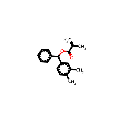 C=C(C)C(=O)OC(c1ccccc1)c1ccc(C)c(C)c1